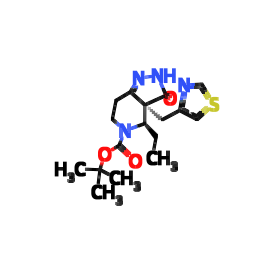 CC[C@H]1N(C(=O)OC(C)(C)C)CCC2=NNC(=O)[C@]21Cc1cscn1